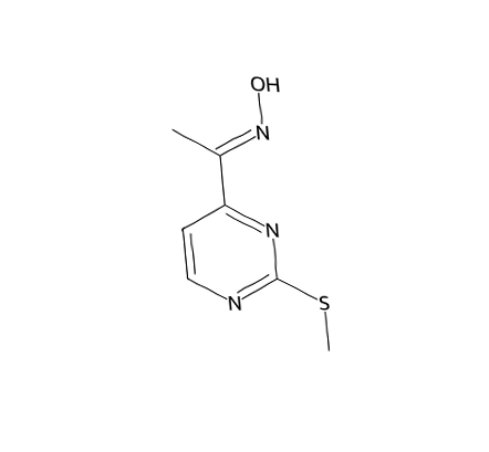 CSc1nccc(/C(C)=N/O)n1